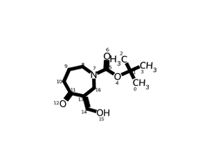 CC(C)(C)OC(=O)N1CCCC(=O)/C(=C/O)C1